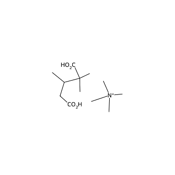 CC(CC(=O)O)C(C)(C)C(=O)O.C[N+](C)(C)C